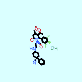 COCC1=C(C(C)=O)C(c2cc(F)c(F)c(F)c2)N(N(C=O)CCN[C@H]2CC[C@@](C#N)(c3ccccc3)CC2)C(=O)C1.Cl